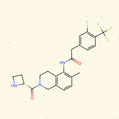 Cc1ccc2c(c1NC(=O)Cc1ccc(C(F)(F)F)c(F)c1)CCN(C(=O)[C@H]1CCN1)C2